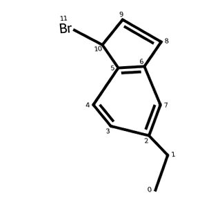 CCc1ccc2c(c1)C=CC2Br